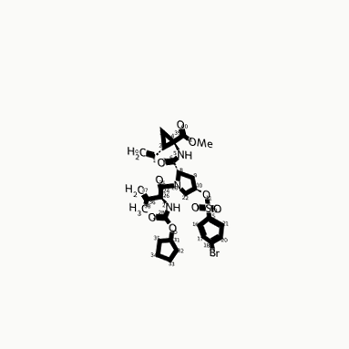 C=C[C@@H]1C[C@]1(NC(=O)[C@@H]1C[C@H](OS(=O)(=O)c2ccc(Br)cc2)CN1C(=O)[C@@H](NC(=O)OC1CCCC1)C(=C)C)C(=O)OC